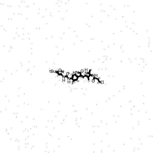 Cc1[nH]c(/C=C2\C(=O)Nc3cc(NC(=O)Nc4cc(C(C)(C)C)on4)c(F)cc32)c(C)c1NC(=O)CCCl